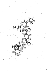 Nc1ccc(-c2cccs2)cc1NC(=O)c1ccc(C(=O)N2CC[PH](O)(c3ccccc3)CC2)cc1